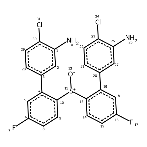 Nc1cc(-c2cc(F)ccc2[S+]([O-])c2ccc(F)cc2-c2ccc(Cl)c(N)c2)ccc1Cl